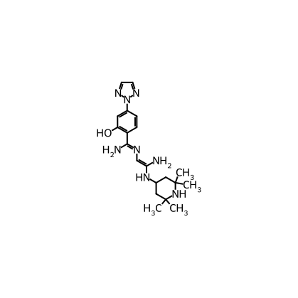 CC1(C)CC(N/C(N)=C/N=C(\N)c2ccc(-n3nccn3)cc2O)CC(C)(C)N1